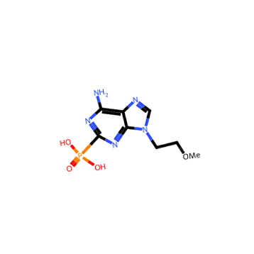 COCCn1cnc2c(N)nc(P(=O)(O)O)nc21